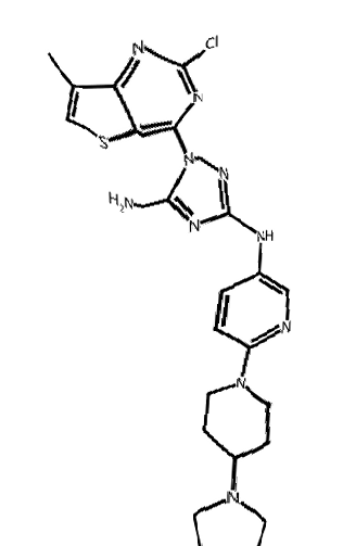 Cc1csc2c(-n3nc(Nc4ccc(N5CCC(N6CCCC6)CC5)nc4)nc3N)nc(Cl)nc12